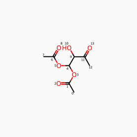 CC(=O)OC(OC(C)=O)C(O)C(C)=O